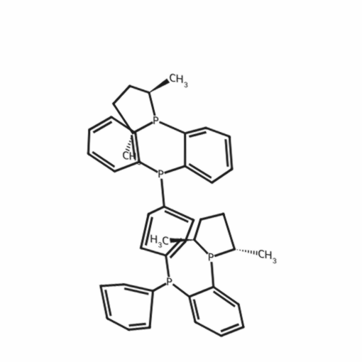 C[C@@H]1CC[C@@H](C)P1c1ccccc1P(c1ccccc1)c1ccc(P(c2ccccc2)c2ccccc2P2[C@@H](C)CC[C@@H]2C)cc1